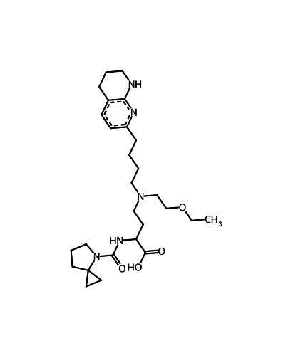 CCOCCN(CCCCc1ccc2c(n1)NCCC2)CCC(NC(=O)N1CCCC12CC2)C(=O)O